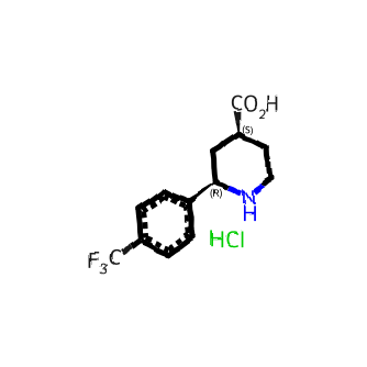 Cl.O=C(O)[C@H]1CCN[C@@H](c2ccc(C(F)(F)F)cc2)C1